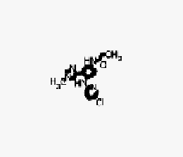 C=CC(=O)Nc1ccc(Nc2ccc(Cl)cn2)c(-c2cn(C)cn2)c1